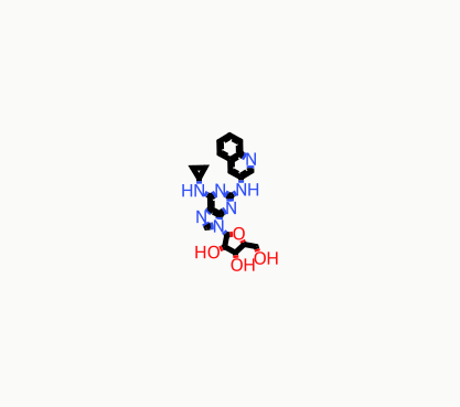 OCC1OC(n2cnc3c(NC4CC4)nc(Nc4cnc5ccccc5c4)nc32)C(O)C1O